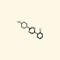 OC1CCN(c2ncc(-c3ccccc3Cl)nn2)CC1